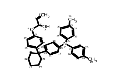 C=CC(O)Oc1ccc(C2(c3ccc(N(c4ccc(C)cc4)c4ccc(C)cc4)cc3)CCCCC2)cc1